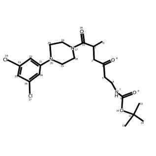 CC(CC(=O)CCNC(=O)OC(C)(C)C)C(=O)N1CCN(c2cc(Cl)cc(Cl)c2)CC1